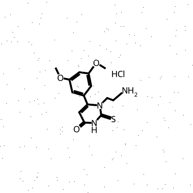 COc1cc(OC)cc(-c2cc(=O)[nH]c(=S)n2CCN)c1.Cl